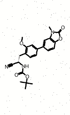 COc1cc(-c2ccc3oc(=O)n(C)c3c2)ccc1C[C@@H](C#N)NC(=O)OC(C)(C)C